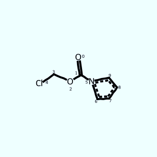 O=C(OCCl)n1cccc1